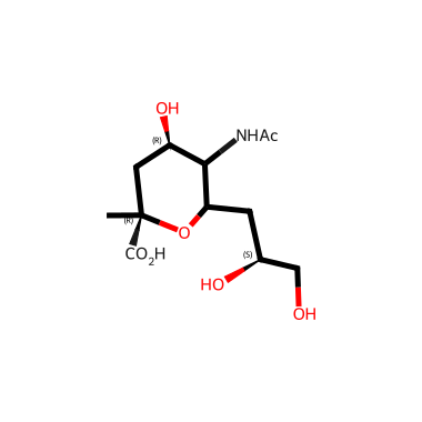 CC(=O)NC1C(C[C@H](O)CO)O[C@@](C)(C(=O)O)C[C@H]1O